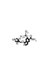 CC(C)Oc1cc2c(OCC3[C@H]4CNC[C@@H]34)nccc2cc1C(N)=O